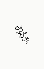 CS(=O)(=O)N1CCc2nn(C(=O)C3CCNc4ccccc43)c(N)c2C1